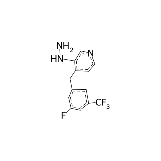 NNc1cnccc1Cc1cc(F)cc(C(F)(F)F)c1